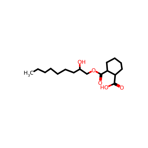 CCCCCCCC(O)COC(=O)C1CCCCC1C(=O)O